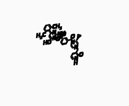 Cc1cccc(C)c1-c1cc(O)nc(NS(=O)(=O)c2cccc(C(=O)N3CCN(Cc4ccc[nH]c4=O)C[C@@H]3C3CC3)c2)n1